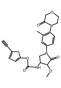 C#Cc1ccc(OC(=O)NC2CN(c3ccc(N4CCOCC4=O)c(C)c3)C(=O)C2OC)s1